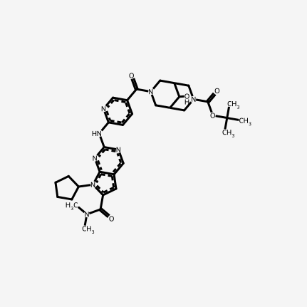 CN(C)C(=O)c1cc2cnc(Nc3ccc(C(=O)N4CC5CN(C(=O)OC(C)(C)C)CC(C4)C5O)cn3)nc2n1C1CCCC1